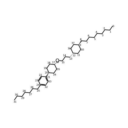 CCCCCCCCC[C@H]1CC[C@H](CCCO[C@H]2CC[C@H](c3ccc(CCCCCCC)cc3)CC2)CC1